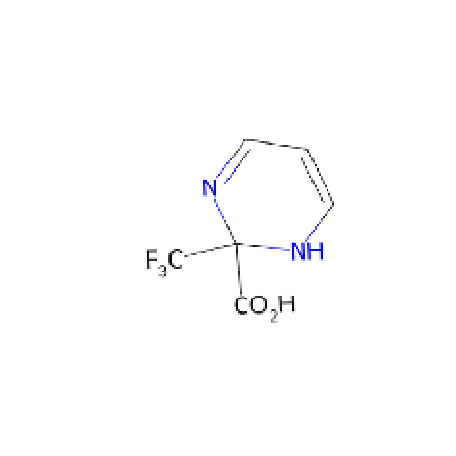 O=C(O)C1(C(F)(F)F)N=CC=CN1